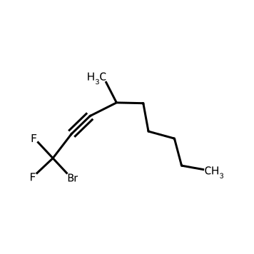 CCCCCC(C)C#CC(F)(F)Br